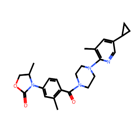 Cc1cc(N2C(=O)OCC2C)ccc1C(=O)N1CCN(c2ncc(C3CC3)cc2C)CC1